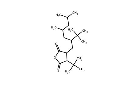 CC(C)CC(C)CC(CC1C(=O)OC(=O)C1C(C)(C)C)C(C)(C)C